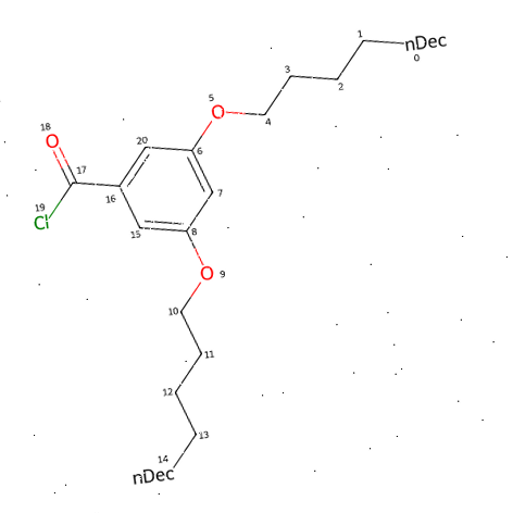 CCCCCCCCCCCCCCOc1cc(OCCCCCCCCCCCCCC)cc(C(=O)Cl)c1